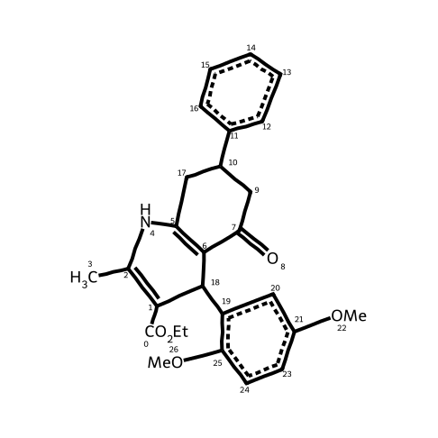 CCOC(=O)C1=C(C)NC2=C(C(=O)CC(c3ccccc3)C2)C1c1cc(OC)ccc1OC